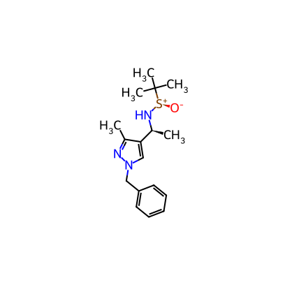 Cc1nn(Cc2ccccc2)cc1[C@H](C)N[S@+]([O-])C(C)(C)C